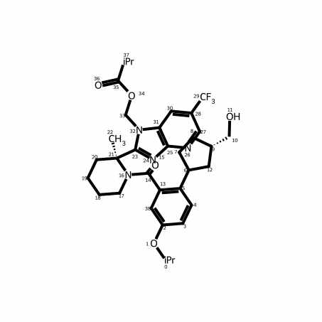 CC(C)Oc1ccc(C2CC[C@H](CO)C2)c(C(=O)N2CCCC[C@@]2(C)c2nc3ncc(C(F)(F)F)cc3n2COC(=O)C(C)C)c1